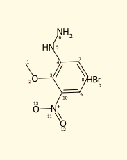 Br.COc1c(NN)cccc1[N+](=O)[O-]